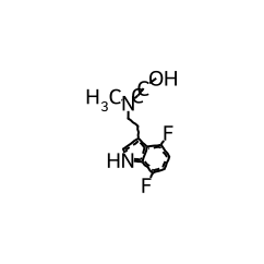 CN(CCO)CCc1c[nH]c2c(F)ccc(F)c12